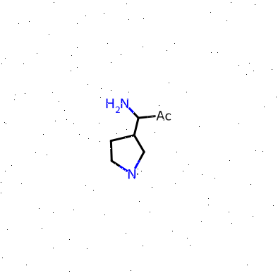 CC(=O)C(N)C1CC[N]C1